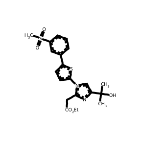 CCOC(=O)Cc1nc(C(C)(C)O)cn1-c1ccc(-c2cccc(S(C)(=O)=O)c2)s1